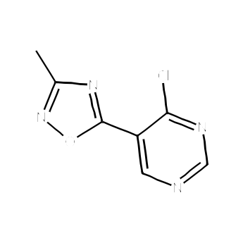 Cc1noc(-c2cncnc2Cl)n1